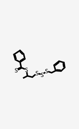 CC(CSSSCc1ccccc1)SC(=S)c1ccccc1